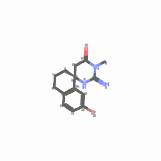 CN1C(=N)N[C@@]2(CCCc3ccc(Br)cc32)CC1=O